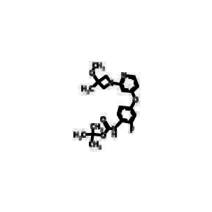 COC1(C)CN(c2cc(Oc3ccc(NC(=O)OC(C)(C)C)c(F)c3)ccn2)C1